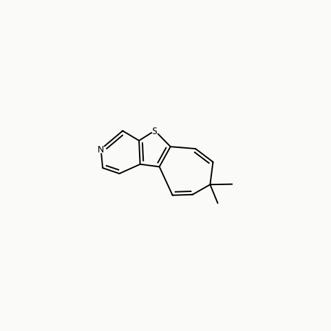 CC1(C)C=Cc2sc3cnccc3c2C=C1